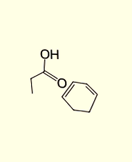 C1=CCCC=C1.CCC(=O)O